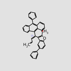 C=C/C=C(\c1c(C)oc2ccc(-c3ccccc3)cc12)c1c2ccccc2c(-c2ccccc2)c2ccccc12